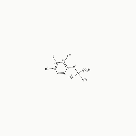 CCOC(=O)C(C)(C)Oc1ccc(Br)c(F)c1F